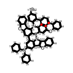 CC(C)(C)c1ccc(N2c3cc4c(cc3B3c5c(cc6oc7ccccc7c6c52)-c2cc(N(c5ccccc5)c5ccccc5)cc5c6oc7ccccc7c6n3c25)Oc2ccccc2O4)c(-c2ccccc2)c1